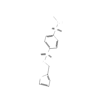 CNS(=O)(=O)c1ccc(S(=O)(=O)NCc2ccco2)cc1